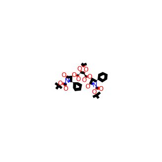 CC(C)(C)OC(=O)N1C(=O)[C@H](OC(=O)[C@@H]2OC(C)(C)O[C@H]2C(=O)O[C@H]2C(=O)N(C(=O)OC(C)(C)C)[C@H]2c2ccccc2)[C@@H]1c1ccccc1